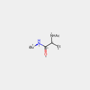 CCC(NC(C)=O)C(=O)N[C@H](C)CC